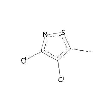 [CH2]c1snc(Cl)c1Cl